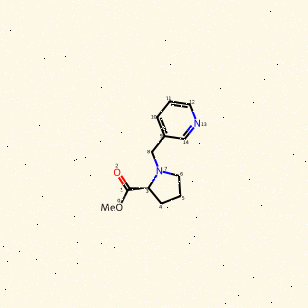 COC(=O)[C@@H]1CCCN1Cc1cccnc1